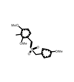 COc1ccc(CS(=O)(=O)C=Cc2ccc(OC)c(C)c2OC)cc1